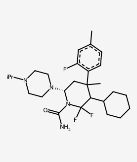 Cc1ccc(C2(C)C[C@@H](N3CCN(C(C)C)CC3)N(C(N)=O)C(F)(F)C2C2CCCCC2)c(F)c1